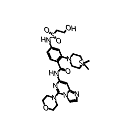 C[Si]1(C)CCN(c2cc(NS(=O)(=O)CCO)ccc2C(=O)Nc2cc3nccn3c(N3CCOCC3)n2)CC1